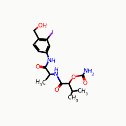 CC(NC(=O)C(OC(N)=O)C(C)C)C(=O)Nc1ccc(CO)c(I)c1